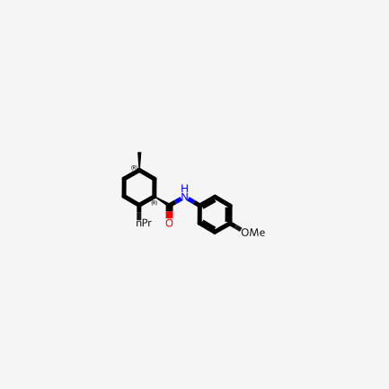 CCCC1CC[C@@H](C)C[C@H]1C(=O)Nc1ccc(OC)cc1